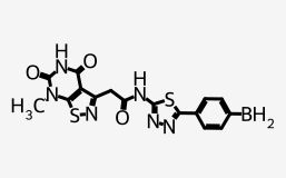 Bc1ccc(-c2nnc(NC(=O)Cc3nsc4c3c(=O)[nH]c(=O)n4C)s2)cc1